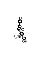 COc1cc(-n2ccc3cc(-c4ccc(Cl)cc4)sc3c2=O)ccc1N1CCC(O)C1